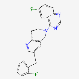 Fc1ccc2ncnc(N3CCc4ncc(Cc5ccccc5F)cc4C3)c2c1